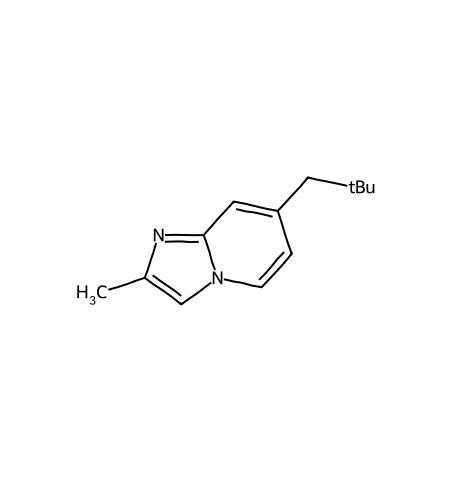 Cc1cn2ccc(CC(C)(C)C)cc2n1